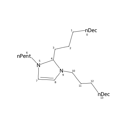 CCCCCCCCCCCCCC1N(CCCCC)C=CN1CCCCCCCCCCCCC